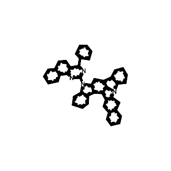 c1ccc(-c2nc(-n3c4ccccc4c4c5c6cc7ccccc7cc6n6c7ccccc7c(cc43)c56)nc3c2ccc2ccccc23)cc1